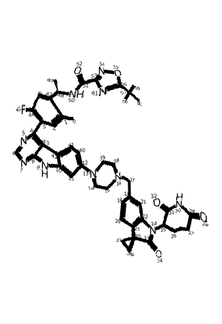 Cc1cc(-c2ncnc3[nH]c4cc(N5CCN(Cc6ccc7c(c6)N(C6CCC(=O)NC6=O)C(=O)C76CC6)CC5)ccc4c23)c(F)cc1[C@@H](C)NC(=O)c1noc(C(C)(C)C)n1